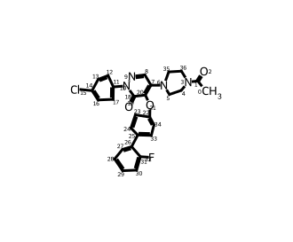 CC(=O)N1CCN(c2cnn(-c3ccc(Cl)cc3)c(=O)c2Oc2ccc(-c3ccccc3F)cc2)CC1